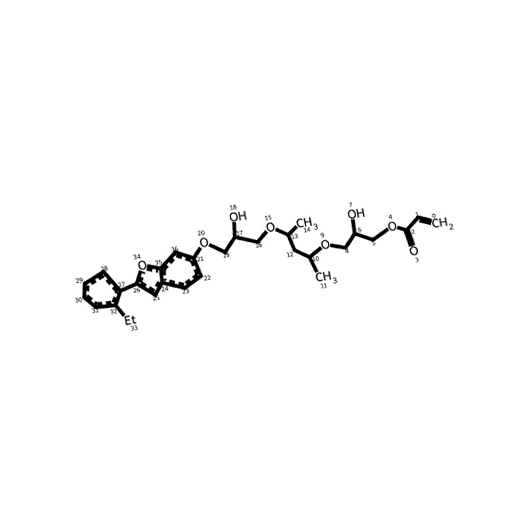 C=CC(=O)OCC(O)COC(C)CC(C)OCC(O)COc1ccc2cc(-c3ccccc3CC)oc2c1